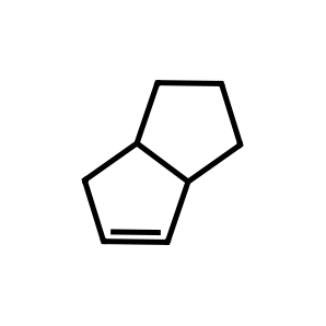 C1=CC2CCCC2C1